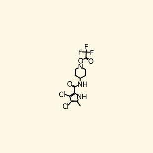 Cc1[nH]c(C(=O)NC2CCN(OC(=O)C(F)(F)F)CC2)c(Cl)c1Cl